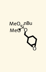 CCCC[Si](OC)(OC)OCC1CCC2OC2C1